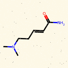 CN(C)CCC=CC(N)=O